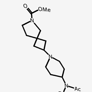 CCN(C(C)=O)C1CCN(C2CC3(CCN(C(=O)OC)C3)C2)CC1